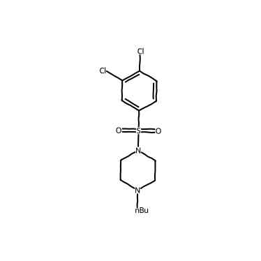 CCCCN1CCN(S(=O)(=O)c2ccc(Cl)c(Cl)c2)CC1